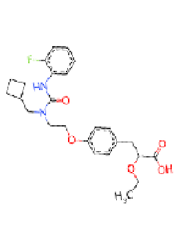 CCOC(Cc1ccc(OCCN(CC2CCC2)C(=O)Nc2ccccc2F)cc1)C(=O)O